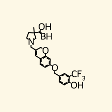 B=C(O)C1(C)CCN(CC2=Cc3ccc(OCc4ccc(O)c(C(F)(F)F)c4)cc3OC2)C1